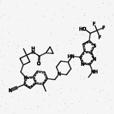 CNc1nc(NC2CCN(Cc3ccc4c(cc(C#N)n4CC4CC(C)(NC(=O)C5CC5)C4)c3C)CC2)c2cc(C(O)C(F)(F)F)sc2n1